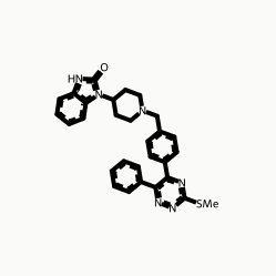 CSc1nnc(-c2ccccc2)c(-c2ccc(CN3CCC(n4c(=O)[nH]c5ccccc54)CC3)cc2)n1